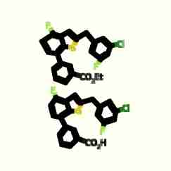 CCOC(=O)c1cccc(-c2ccc(F)c3cc(Cc4cc(F)cc(Cl)c4)sc23)c1.O=C(O)c1cccc(-c2ccc(F)c3cc(Cc4cc(F)cc(Cl)c4)sc23)c1